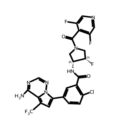 Nc1ncnn2c(-c3ccc(Cl)c(C(=O)N[C@@H]4CN(C(=O)c5c(F)cncc5F)C[C@@H]4F)c3)cc(C(F)(F)F)c12